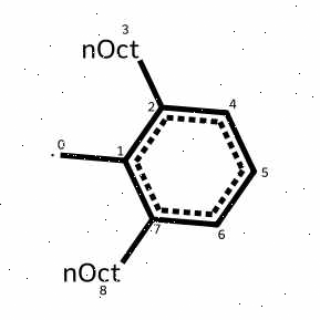 [CH2]c1c(CCCCCCCC)cccc1CCCCCCCC